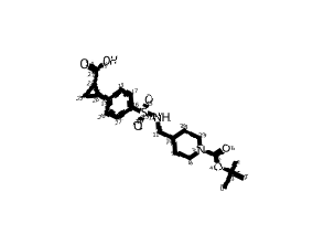 CC(C)(C)OC(=O)N1CCC(CNS(=O)(=O)c2ccc(C3CC3C(=O)O)cc2)CC1